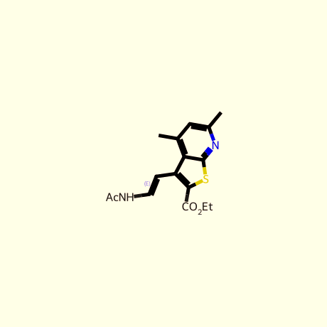 CCOC(=O)c1sc2nc(C)cc(C)c2c1/C=C/NC(C)=O